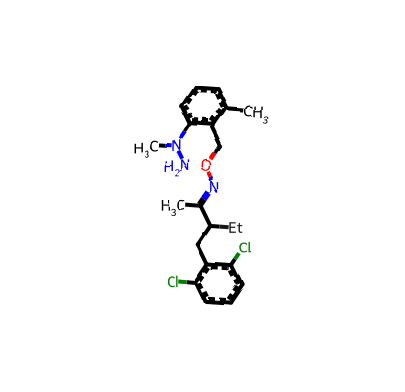 CCC(Cc1c(Cl)cccc1Cl)C(C)=NOCc1c(C)cccc1N(C)N